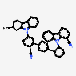 CC1C=Cc2c(n(-c3ccc(C#N)c(-c4ccc(-c5ccccc5-n5c6ccccc6c6cccc(C#N)c65)cc4)c3)c3ccccc23)C1